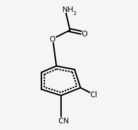 N#Cc1ccc(OC(N)=O)cc1Cl